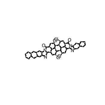 O=c1c2cc(Cl)c3c4c(Cl)cc5c(=O)n6c7cc8cc9ccccc9cc8cc7nc6c6cc(Cl)c(c7c(Cl)cc(c2c37)c2nc3cc7ccccc7cc3n12)c4c56